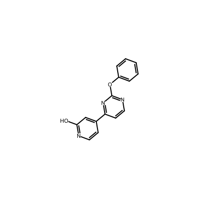 Oc1cc(-c2ccnc(Oc3ccccc3)n2)ccn1